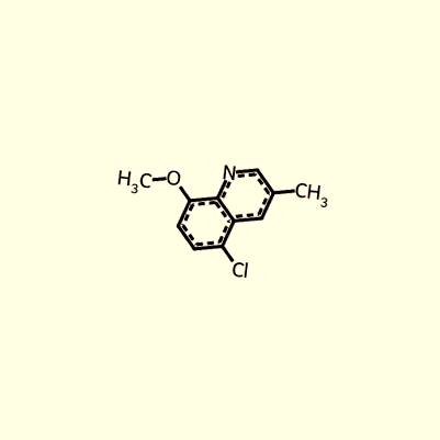 COc1ccc(Cl)c2cc(C)cnc12